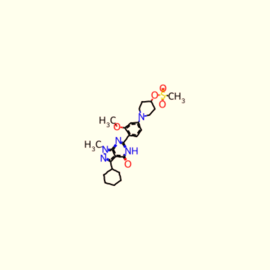 COc1cc(N2CCC(OS(C)(=O)=O)CC2)ccc1-c1nc2c(c(C3CCCCC3)nn2C)c(=O)[nH]1